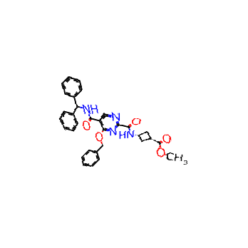 COC(=O)[C@H]1C[C@H](NC(=O)c2ncc(C(=O)NC(c3ccccc3)c3ccccc3)c(OCc3ccccc3)n2)C1